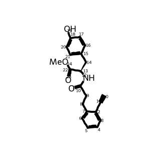 C#Cc1ccccc1CCC(=O)N[C@H](Cc1ccc(O)cc1)C(=O)OC